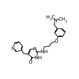 CN(C)Cc1cccc(OCCCNc2ncc(Cc3cccnc3)c(=O)[nH]2)c1